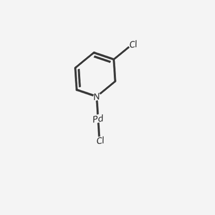 [Cl][Pd][N]1C=CC=C(Cl)C1